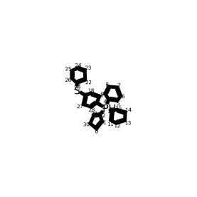 C1=CC([PH](c2ccccc2)(c2ccccc2)c2ccc(Sc3ccccc3)cc2)=CC1